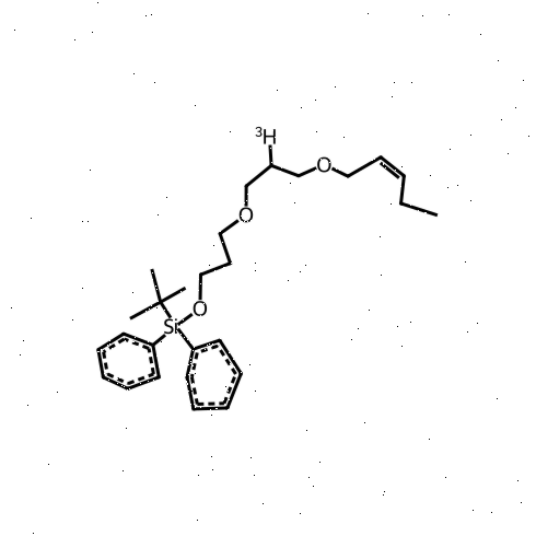 [3H]C(COC/C=C\CC)COCCCO[Si](c1ccccc1)(c1ccccc1)C(C)(C)C